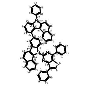 c1ccc(-c2csc3c(-c4ccccc4)nc(-n4c5ccc(-c6cccc7c6c6c8ccccc8ccc6n7-c6ccccc6)cc5c5ccc6ccccc6c54)nc23)cc1